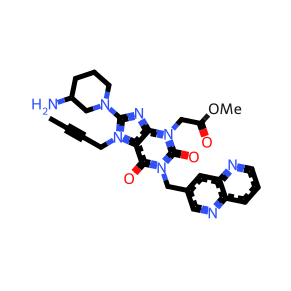 CC#CCn1c(N2CCCC(N)C2)nc2c1c(=O)n(Cc1cnc3cccnc3c1)c(=O)n2CC(=O)OC